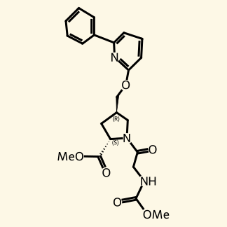 COC(=O)NCC(=O)N1C[C@H](COc2cccc(-c3ccccc3)n2)C[C@H]1C(=O)OC